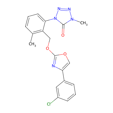 Cc1cccc(-n2nnn(C)c2=O)c1COc1nc(-c2cccc(Cl)c2)co1